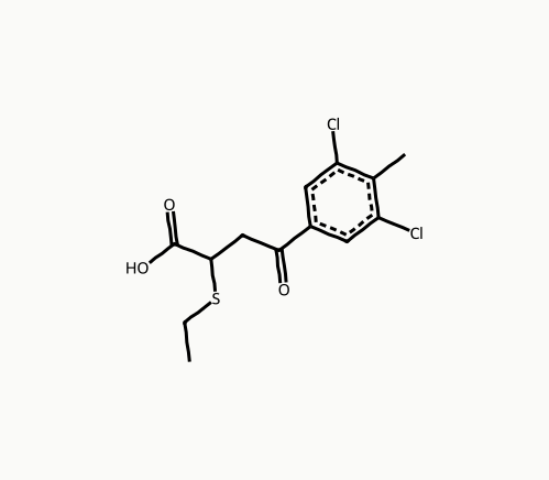 CCSC(CC(=O)c1cc(Cl)c(C)c(Cl)c1)C(=O)O